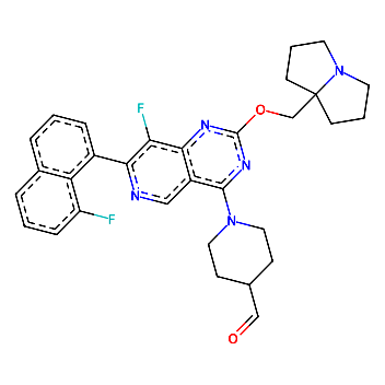 O=CC1CCN(c2nc(OCC34CCCN3CCC4)nc3c(F)c(-c4cccc5cccc(F)c45)ncc23)CC1